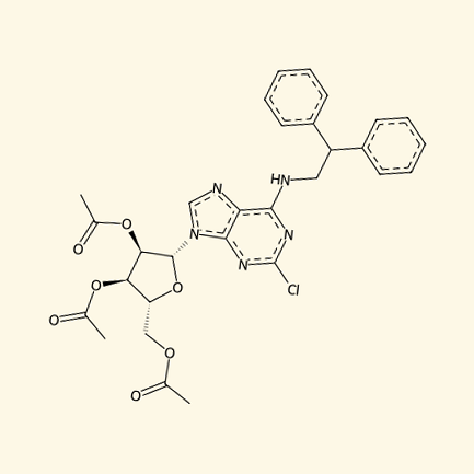 CC(=O)OC[C@H]1O[C@@H](n2cnc3c(NCC(c4ccccc4)c4ccccc4)nc(Cl)nc32)[C@H](OC(C)=O)[C@@H]1OC(C)=O